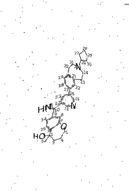 CC1(O)CCCOc2cc(C(=N)c3cncc(-c4ccc5c(c4)CCN(C4CCCC4)CC5)c3)ccc21